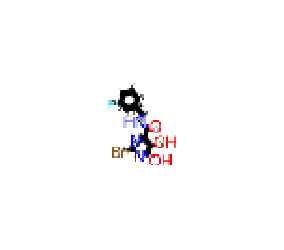 O=C(NCc1cccc(F)c1)c1nc(Br)nc(O)c1O